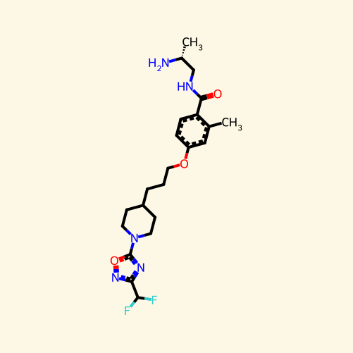 Cc1cc(OCCCC2CCN(c3nc(C(F)F)no3)CC2)ccc1C(=O)NC[C@@H](C)N